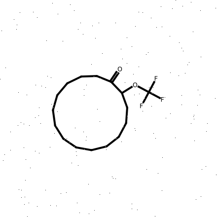 O=C1CCCCCCCCCCCCCC1OC(F)(F)F